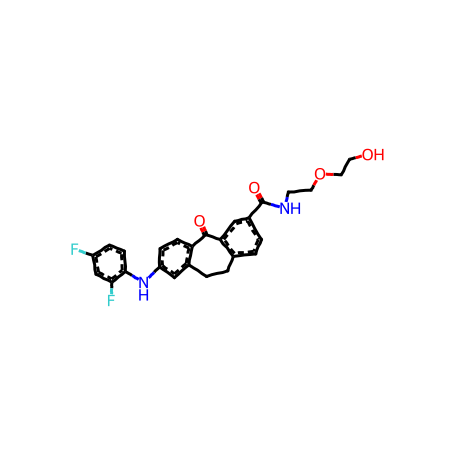 O=C(NCCOCCO)c1ccc2c(c1)C(=O)c1ccc(Nc3ccc(F)cc3F)cc1CC2